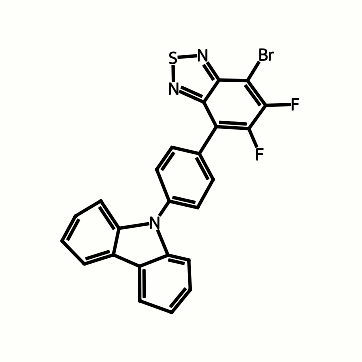 Fc1c(F)c(-c2ccc(-n3c4ccccc4c4ccccc43)cc2)c2nsnc2c1Br